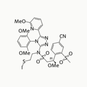 COc1cccc(-c2nnc(N(CCSI)S(=O)(=O)C[C@H](OC)c3ccc(C#N)cc3S(C)(=O)=O)n2-c2c(OC)cccc2OC)n1